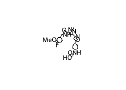 COc1cc(CNC(=O)c2cc(C3=NO[C@@H](C4CCC(NC(=O)CO)CC4)C3)nc(C)n2)ccc1F